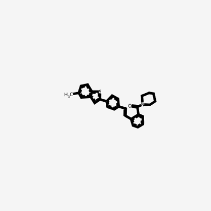 Cc1ccc2sc(-c3ccc(C=Cc4ccccc4C(=O)N4CCCCC4)cc3)cc2c1